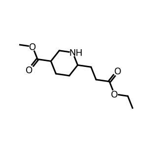 CCOC(=O)CCC1CCC(C(=O)OC)CN1